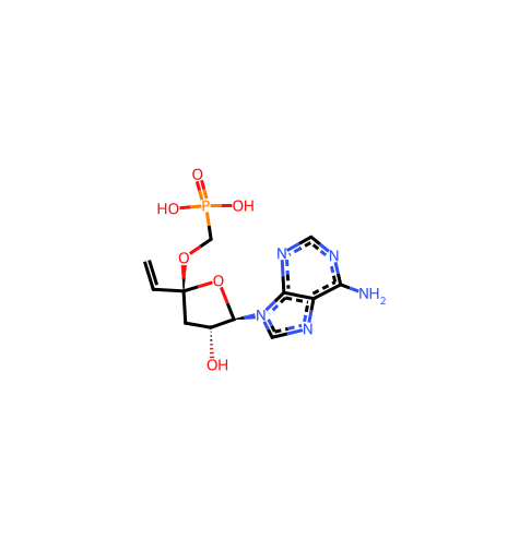 C=C[C@@]1(OCP(=O)(O)O)C[C@@H](O)[C@H](n2cnc3c(N)ncnc32)O1